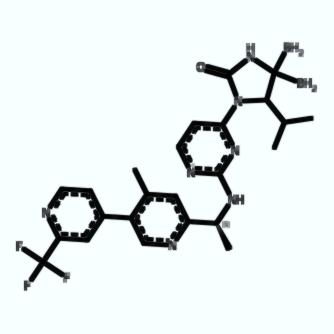 BC1(B)NC(=O)N(c2ccnc(N[C@@H](C)c3cc(C)c(-c4ccnc(C(F)(F)F)c4)cn3)n2)C1C(C)C